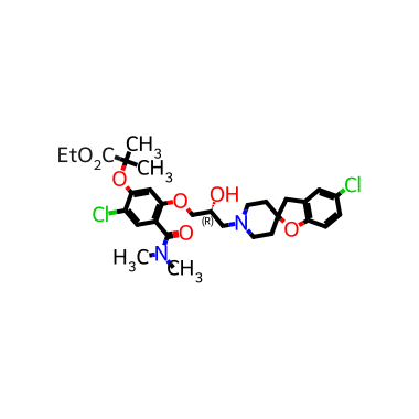 CCOC(=O)C(C)(C)Oc1cc(OC[C@H](O)CN2CCC3(CC2)Cc2cc(Cl)ccc2O3)c(C(=O)N(C)C)cc1Cl